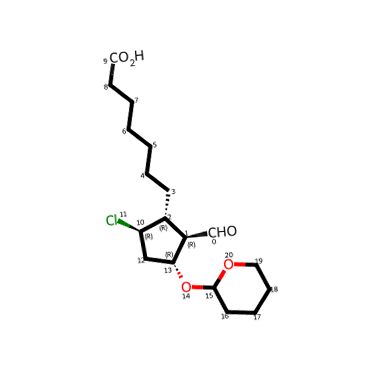 O=C[C@@H]1[C@@H](CCCCCCC(=O)O)[C@H](Cl)C[C@H]1OC1CCCCO1